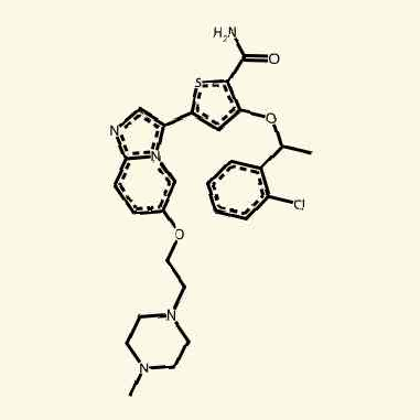 CC(Oc1cc(-c2cnc3ccc(OCCN4CCN(C)CC4)cn23)sc1C(N)=O)c1ccccc1Cl